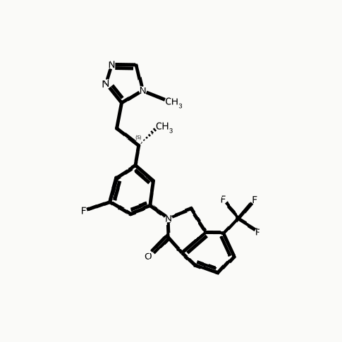 C[C@@H](Cc1nncn1C)c1cc(F)cc(N2Cc3c(cccc3C(F)(F)F)C2=O)c1